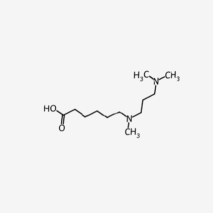 CN(C)CCCN(C)CCCCCC(=O)O